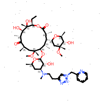 CC[C@H]1OC(=O)[C@H](C)C([C@H]2C[C@@](C)(OC)[C@@H](O)[C@H](C)O2)[C@H](C)[C@@H](O[C@@H]2O[C@H](C)C[C@H](N(C)CCc3cn(Cc4ccccn4)nn3)[C@H]2O)[C@](C)(OC)C[C@@H](C)C(=O)[C@H](C)[C@@H](O)[C@]1(C)O